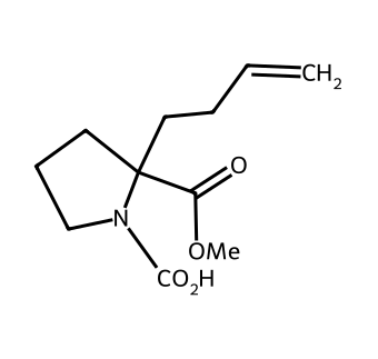 C=CCCC1(C(=O)OC)CCCN1C(=O)O